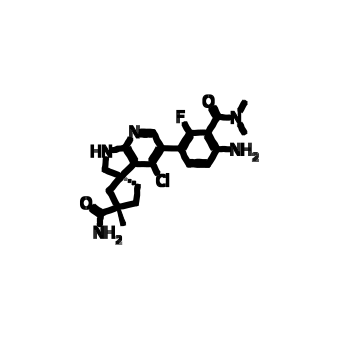 CN(C)C(=O)c1c(N)ccc(-c2cnc3c(c2Cl)[C@]2(CC[C@](C)(C(N)=O)C2)CN3)c1F